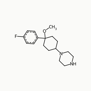 COC1(c2ccc(F)cc2)CCC(N2CCNCC2)CC1